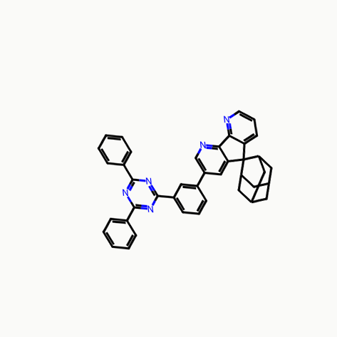 c1ccc(-c2nc(-c3ccccc3)nc(-c3cccc(-c4cnc5c(c4)C4(c6cccnc6-5)C5CC6CC(C5)CC4C6)c3)n2)cc1